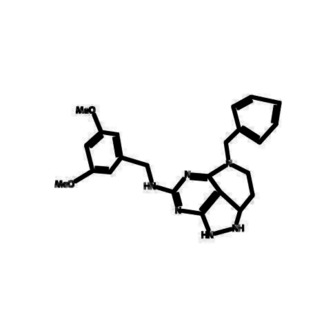 COc1cc(CNc2nc3c4c(n2)N(Cc2ccccc2)CCC4NN3)cc(OC)c1